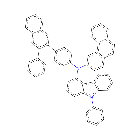 c1ccc(-c2cc3ccccc3cc2-c2ccc(N(c3ccc4ccc5ccccc5c4c3)c3cccc4c3c3ccccc3n4-c3ccccc3)cc2)cc1